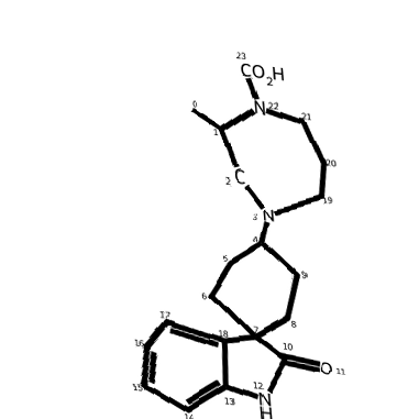 CC1CN(C2CCC3(CC2)C(=O)Nc2ccccc23)CCCN1C(=O)O